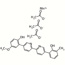 CC(=O)[O-].CC(=O)[O-].CC(=O)[O-].COc1ccc(O)c(-c2ccc(-c3ccc(-c4cccc(C)c4O)cn3)nc2)c1.[Mn+3]